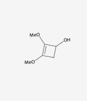 COC1=C(OC)C(O)C1